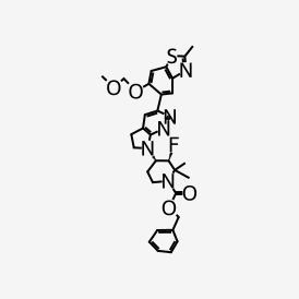 COCOc1cc2sc(C)nc2cc1-c1cc2c(nn1)N([C@@H]1CCN(C(=O)OCc3ccccc3)C(C)(C)[C@@H]1F)CC2